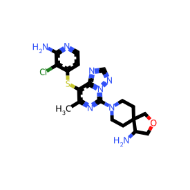 Cc1nc(N2CCC3(CC2)COCC3N)n2ncnc2c1Sc1ccnc(N)c1Cl